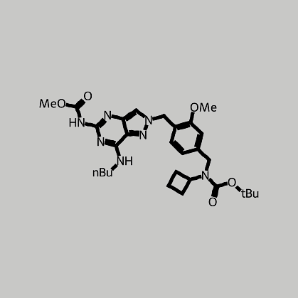 CCCCNc1nc(NC(=O)OC)nc2cn(Cc3ccc(CN(C(=O)OC(C)(C)C)C4CCC4)cc3OC)nc12